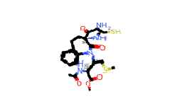 CN[C@]1(C(=O)C(N)CS)CCc2ccccc2N(C(CSC)[C@H](NC(C)=O)C(=O)OC)C1=O